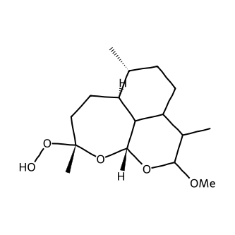 COC1O[C@@H]2O[C@](C)(OO)CC[C@@H]3C2C(CC[C@H]3C)C1C